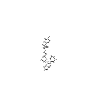 Cc1ccc(S(=O)(=O)NCCNc2nccc(-c3c(-c4ccccc4)nc4sccn34)n2)cc1